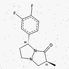 C[C@H]1CN2CC[C@H](c3ccc(F)c(F)c3)N2C1=O